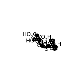 O=C(O)c1ccc(C(=O)O)c(-c2c3ccc(=O)c(CNC(=O)c4ccc(CNC(=O)c5cc(Cl)c(C6=c7cc8c9c(c7Oc7c6cc6c%10c7CCCN%10CCC6)CCC[N+]=9CCC8)c(C(=O)O)c5Cl)cc4)c-3oc3cc(O)ccc23)c1